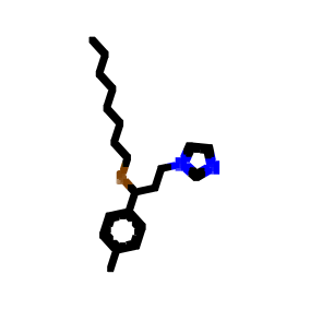 CCCCCCCCSC(CCn1ccnc1)c1ccc(C)cc1